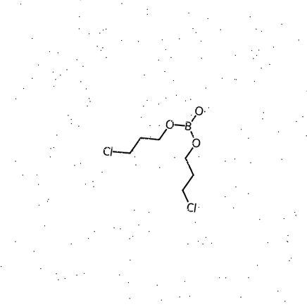 [O]B(OCCCCl)OCCCCl